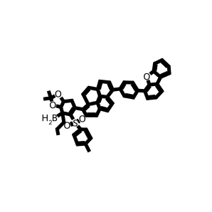 BC1(CCC)C(S(=O)(=O)c2ccc(C)cc2)=C(c2ccc3ccc4c(-c5ccc(-c6cccc7c6oc6ccccc67)cc5)ccc5ccc2c3c54)CC2OC(C)(C)OC21